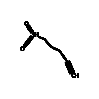 C#CCCC[SH](=O)=O